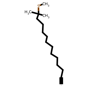 [C]#CCCCCCCCCCCC(C)(C)SC